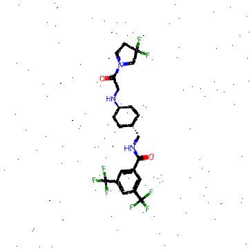 O=C(NC[C@H]1CC[C@H](NCC(=O)N2CCC(F)(F)C2)CC1)c1cc(C(F)(F)F)cc(C(F)(F)F)c1